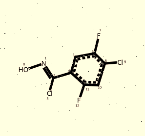 ON=C(Cl)c1cc(F)c(Cl)cc1F